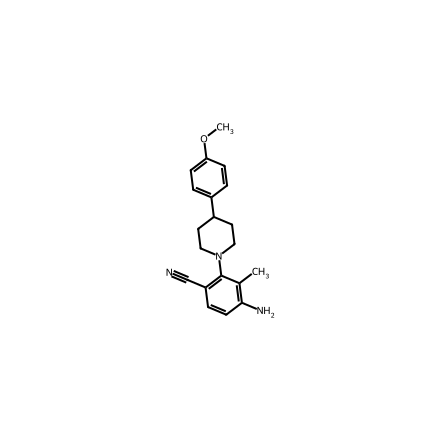 COc1ccc(C2CCN(c3c(C#N)ccc(N)c3C)CC2)cc1